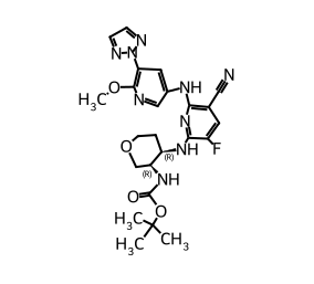 COc1ncc(Nc2nc(N[C@@H]3CCOC[C@@H]3NC(=O)OC(C)(C)C)c(F)cc2C#N)cc1-n1nccn1